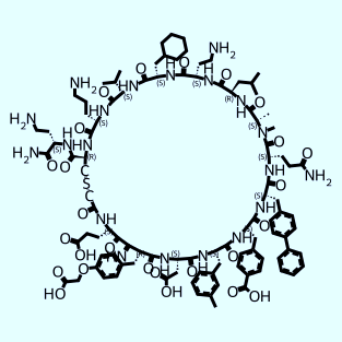 Cc1cccc(C[C@@H]2NC(=O)[C@H](CC(=O)O)NC(=O)[C@H](Cc3ccc(OCC(=O)O)cc3)C(=N)C(=O)[C@H](CCC(=O)O)NC(=O)CSC[C@@H](C(=O)N[C@@H](CCN)C(N)=O)NC(=O)[C@H](CCCN)NC(=O)[C@H](C(C)C)NC(=O)[C@H](CC3CCCCC3)NC(=O)[C@H](CCN)NC(=O)[C@@H](CC(C)C)NC(=O)[C@H](C)N(C)C(=O)[C@H](CCC(N)=O)NC(=O)[C@H](Cc3ccc(-c4ccccc4)cc3)NC(=O)[C@H](Cc3ccc(C(=O)O)cc3)NC2=O)c1